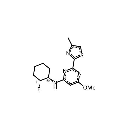 COc1cc(N[C@@H]2CCCC[C@H]2F)nc(-c2nc(C)cs2)n1